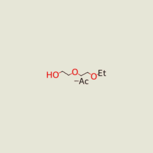 CC(C)=O.CCOCCOCCO